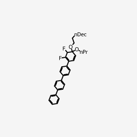 CCCCCCCCCCCCOC1(OCCC)C=CC(c2ccc(-c3ccc(-c4ccccc4)cc3)cc2)=C(F)C1F